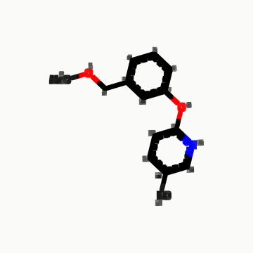 COOCc1cccc(Oc2ccc(N=O)cn2)c1